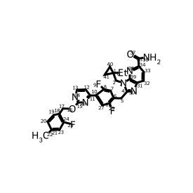 CCC1(Cn2c(Cc3cc(F)c(-c4ccnc(OCc5ccc(C)cc5F)n4)cc3F)nc3ccc(C(N)=O)nc32)CC1